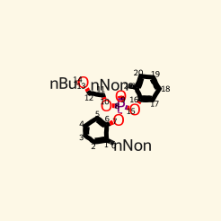 CCCCCCCCCc1ccccc1OP(=O)(OCCOCCCC)Oc1ccccc1CCCCCCCCC